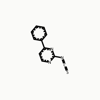 S=C=Nc1nccc(-c2ccccc2)n1